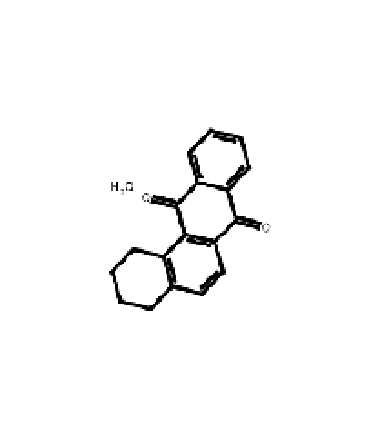 O.O=C1c2ccccc2C(=O)c2c1ccc1c2CCCC1